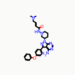 CN(C)C/C=C/C(=O)NN1CCC[C@@H](n2nc(-c3ccc(Oc4ccccc4)cc3)c3c(N)ncnc32)C1